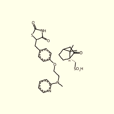 CC1(C)C2CC[C@]1(CS(=O)(=O)O)C(=O)C2.CN(CCOc1ccc(CC2SC(=O)NC2=O)cc1)c1ccccn1